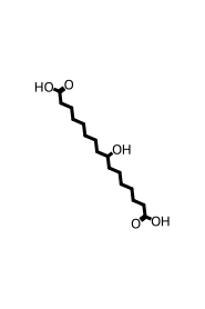 O=C(O)CCCCCCCC(O)CCCCCCC(=O)O